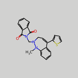 CN1c2ccccc2C(c2cccs2)=CCN1CN1C(=O)c2ccccc2C1=O